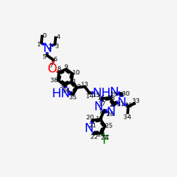 CCN(CC)CCOc1ccc2c(CCNc3nc(-c4cncc(F)c4)nc4c3ncn4C(C)C)c[nH]c2c1